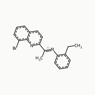 CCc1ccccc1/N=C(\C)c1ccc2cccc(Br)c2n1